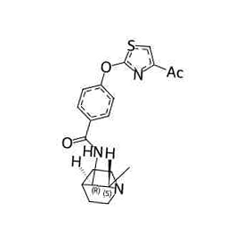 CC(=O)c1csc(Oc2ccc(C(=O)N[C@@H]3C4CCN(CC4)[C@H]3C)cc2)n1